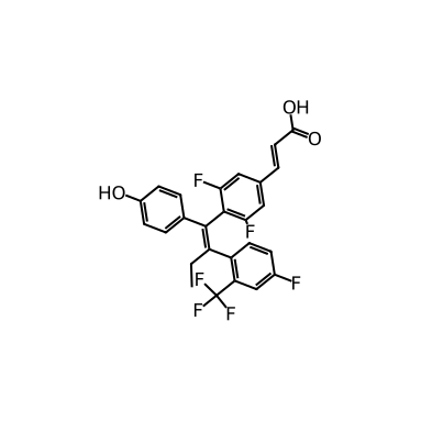 CC/C(=C(\c1ccc(O)cc1)c1c(F)cc(/C=C/C(=O)O)cc1F)c1ccc(F)cc1C(F)(F)F